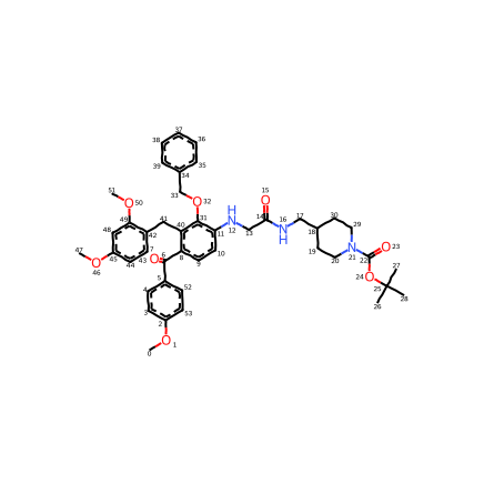 COc1ccc(C(=O)c2ccc(NCC(=O)NCC3CCN(C(=O)OC(C)(C)C)CC3)c(OCc3ccccc3)c2Cc2ccc(OC)cc2OC)cc1